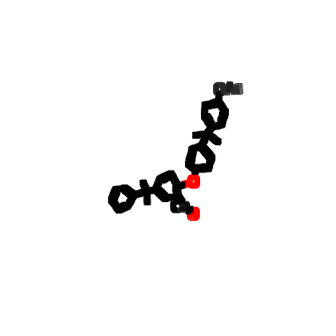 CC(=O)Oc1ccc(C(C)(C)c2ccc(Oc3ccc(C(C)(C)c4ccccc4)c[c]3[Co]=[O])cc2)cc1